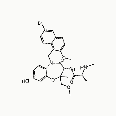 CN[C@@H](C)C(=O)NC1C(=O)N(Cc2c(OC)ccc3cc(Br)ccc23)c2ccccc2OC1(C)COC.Cl